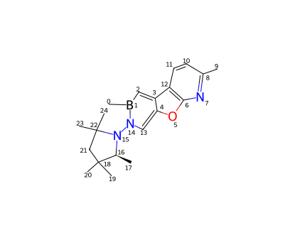 CB1C=c2c(oc3nc(C)ccc23)=CN1N1[C@@H](C)C(C)(C)CC1(C)C